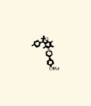 COc1ccc(C2CCN(c3c(C)c(C)c4c(c3C)C(c3ccc(C)cc3)C(C)(C)O4)CC2)cc1